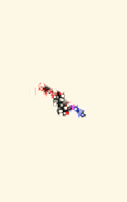 C=C(C)[C@@H]1CC[C@]2(CC(=O)N3CC[C@H](N4CCCC4)C3)CC[C@]3(C)[C@H](CC[C@@H]4[C@@]5(C)CC[C@H](OC(=O)CC(C)(C)C(=O)O)C(C)(C)[C@@H]5CC[C@]43C)[C@@H]12